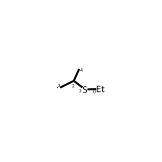 [CH2]CSC([CH2])C